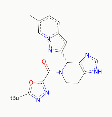 Cc1ccc2cc([C@@H]3c4nc[nH]c4CCN3C(=O)c3nnc(C(C)(C)C)o3)nn2c1